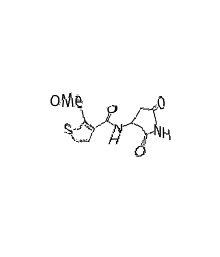 COc1sccc1C(=O)NC1CC(=O)NC1=O